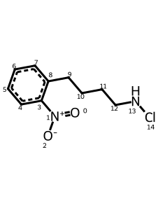 O=[N+]([O-])c1ccccc1CCCCNCl